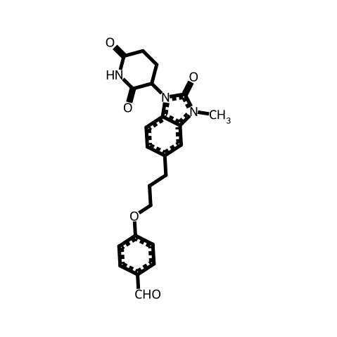 Cn1c(=O)n(C2CCC(=O)NC2=O)c2ccc(CCCOc3ccc(C=O)cc3)cc21